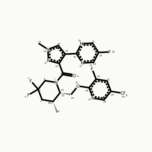 C[C@@H]1CC(F)(F)CN(C(=O)c2nn(C)cc2-c2ncc(F)cn2)[C@@H]1COc1ncc(C(F)(F)F)cc1F